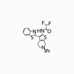 CC(C)N1CCc2c(sc(NC(=O)C(F)F)c2-c2nc3ccccc3s2)C1